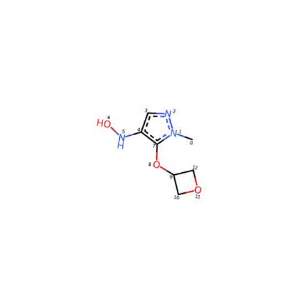 Cn1ncc(NO)c1OC1COC1